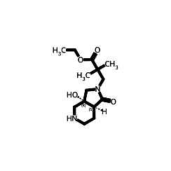 CCOC(=O)C(C)(C)CN1C[C@]2(O)CNCC[C@@H]2C1=O